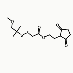 COCC(C)(C)SSCC(=O)OCCC1C(=O)CCC1=O